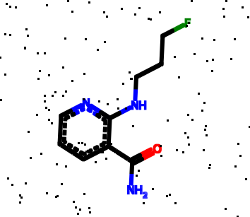 NC(=O)c1cccnc1NCCCF